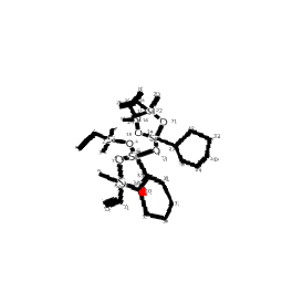 C=C[Si](C)(C)O[Si](O[Si](C)(C)C=C)(O[Si](O[Si](C)(C)C=C)(O[Si](C)(C)C=C)C1CCCCC1)C1CCCCC1